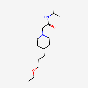 CCOCCCC1CCN(CC(=O)NC(C)C)CC1